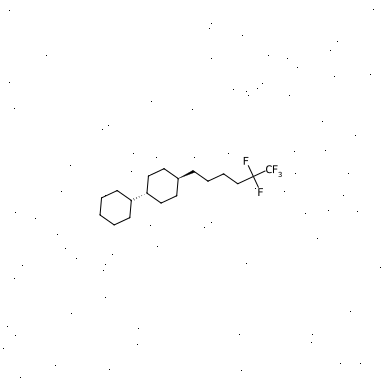 FC(F)(F)C(F)(F)CCCC[C@H]1CC[C@H](C2CCCCC2)CC1